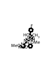 COc1cccc(-c2nnc(NS(=O)(=O)[C@H](C)[C@@H](O)c3ccc(F)cc3)n2-c2c(OC)cccc2OC)n1